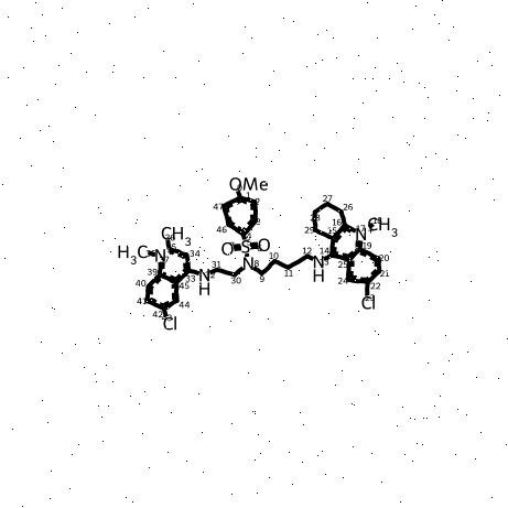 COc1ccc(S(=O)(=O)N(CCCCNc2c3c([n+](C)c4ccc(Cl)cc24)CCCC3)CCNc2cc(C)[n+](C)c3ccc(Cl)cc23)cc1